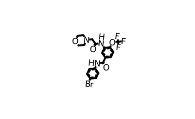 O=C(CN1CCOCC1)Nc1cc(C(=O)Nc2ccc(Br)cc2)ccc1OC(F)(F)F